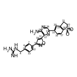 N=C(N)NCc1ccc(-c2cc(-c3nc(-c4ccc5c(c4)CCS5(=O)=O)cnc3N)on2)cc1